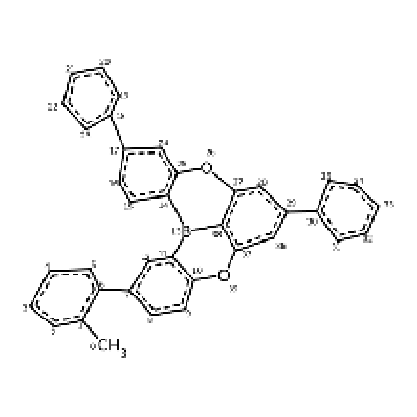 Cc1ccccc1-c1ccc2c(c1)B1c3ccc(-c4ccccc4)cc3Oc3cc(-c4ccccc4)cc(c31)O2